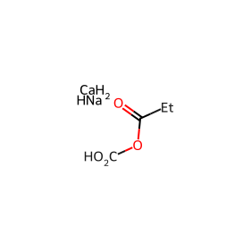 CCC(=O)OC(=O)O.[CaH2].[NaH]